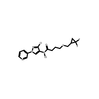 CCN(C(=O)CCCSCC1CC1(F)F)c1cn(-c2cccnc2)nc1Cl